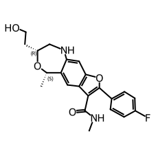 CNC(=O)c1c(-c2ccc(F)cc2)oc2cc3c(cc12)[C@H](C)O[C@H](CCO)CN3